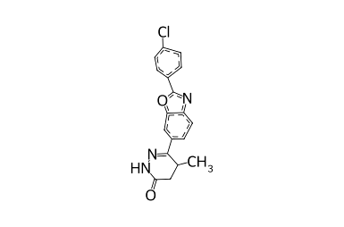 CC1CC(=O)NN=C1c1ccc2nc(-c3ccc(Cl)cc3)oc2c1